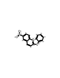 O=[N+]([O-])c1ccc2c(ccc3sc4ccccc4[n+]32)c1